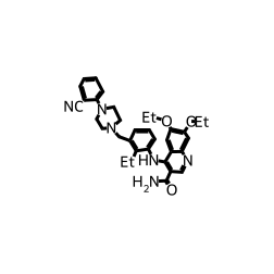 CCOc1cc2ncc(C(N)=O)c(Nc3cccc(CN4CCN(c5ccccc5C#N)CC4)c3CC)c2cc1OCC